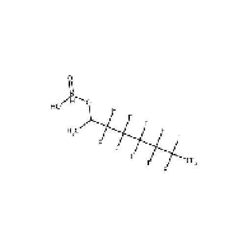 CC(O[PH](=O)O)C(F)(F)C(F)(F)C(F)(F)C(F)(F)C(F)(F)C(F)(F)F